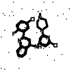 CN1CCN(c2cc(Nc3cc(-c4cc(Cl)ccc4F)nc4ccccc34)cc(Cl)n2)CC1